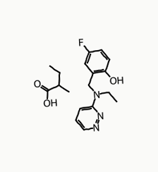 CCC(C)C(=O)O.CCN(Cc1cc(F)ccc1O)c1cccnn1